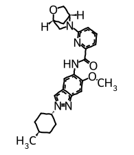 COc1cc2nn([C@H]3CC[C@H](C)CC3)cc2cc1NC(=O)c1cccc(N2C[C@H]3C[C@@H]2CO3)n1